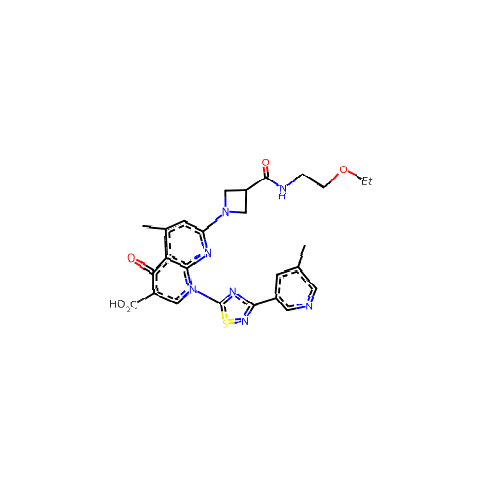 CCOCCNC(=O)C1CN(c2cc(C)c3c(=O)c(C(=O)O)cn(-c4nc(-c5cncc(C)c5)ns4)c3n2)C1